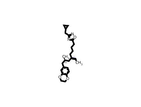 C/C=C(/CCCCc1nc(CC2CC2)no1)C[C@H](C)Cc1ccc2c(c1)OCCO2